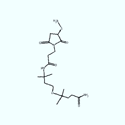 BSC1CC(=O)N(CCC(=O)NC(C)(C)CCOC(C)(C)CCC(N)=O)C1=O